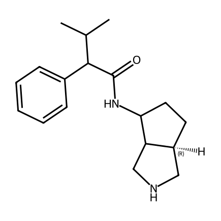 CC(C)C(C(=O)NC1CC[C@H]2CNCC12)c1ccccc1